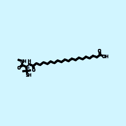 CNC(=O)[C@H](NC(=O)CCCCCCCCCCCCCCCCCCC(=O)O)C(C)(C)S